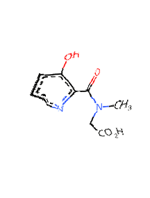 CN(CC(=O)O)C(=O)c1ncccc1O